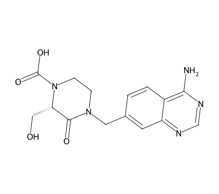 Nc1ncnc2cc(CN3CCN(C(=O)O)[C@@H](CO)C3=O)ccc12